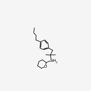 CCCCc1ccc(CC(C)(C)[SiH2]C2CCCCO2)cc1